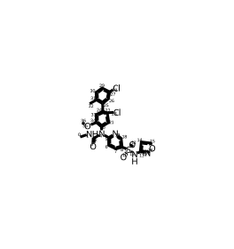 CNC(=O)N(c1ccc(S(=O)(=O)Nc2ccon2)cn1)c1cc(Cl)c(-c2cc(Cl)ccc2C)cc1OC